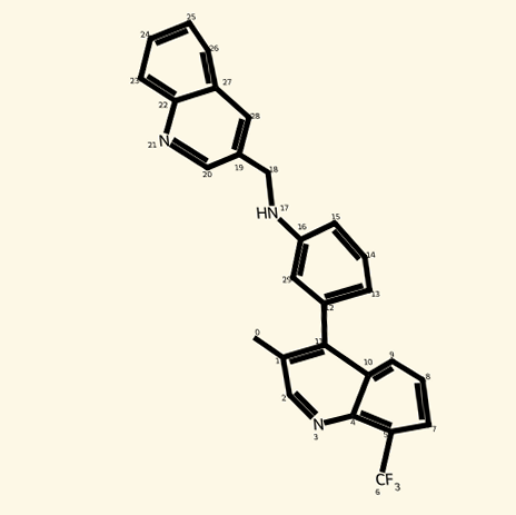 Cc1cnc2c(C(F)(F)F)cccc2c1-c1cccc(NCc2cnc3ccccc3c2)c1